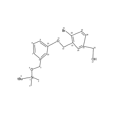 CC(C)(C)[Si](C)(C)OCc1cccc(OCc2cc(CO)ccc2Br)c1